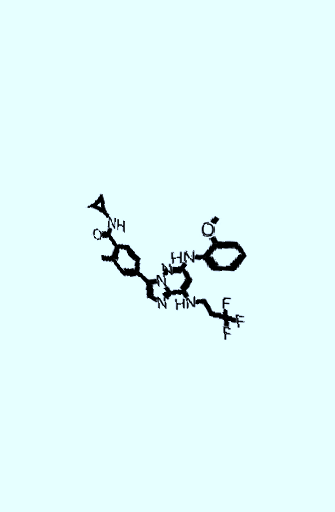 COc1ccccc1Nc1cc(NCCC(F)(F)F)c2ncc(-c3ccc(C(=O)NC4CC4)c(C)c3)n2n1